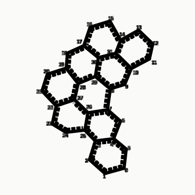 c1ccc2c(c1)cc1c3cc4cccc5ccc6cc7ccc8ccc2c1c8c7c3c6c54